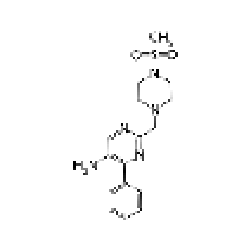 CS(=O)(=O)N1CCN(Cc2ncc(N)c(-c3ccccc3)n2)CC1